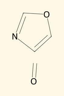 C=O.c1cocn1